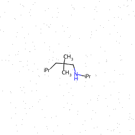 CC(C)CC(C)(C)CNC(C)C